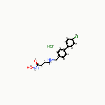 Cl.O=C(CCCNCc1ccc(-c2ccc(Cl)cc2)cc1)NO